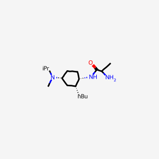 CCCC[C@@H]1C[C@H](N(C)C(C)C)CC[C@@H]1NC(=O)C(C)N